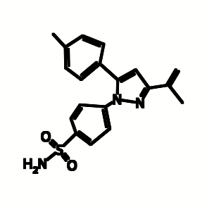 C=C(C)c1cc(-c2ccc(C)cc2)n(-c2ccc(S(N)(=O)=O)cc2)n1